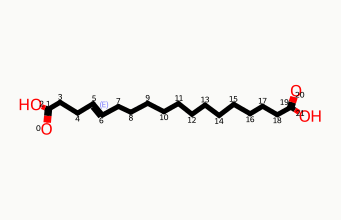 O=C(O)CC/C=C/CCCCCCCCCCCCC(=O)O